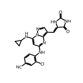 N#Cc1ccc(Nc2cc(NC3CC3)n3ncc(/C=C4\NC(=O)NC4=O)c3n2)c(Cl)c1